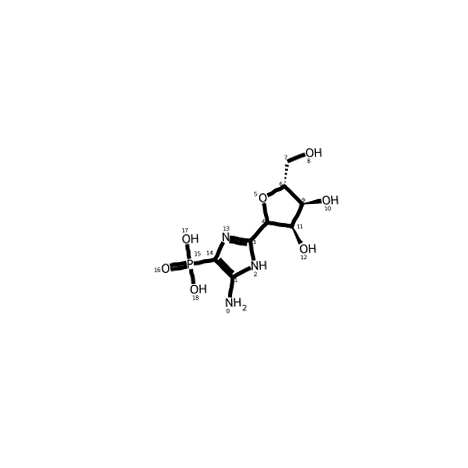 Nc1[nH]c(C2O[C@H](CO)[C@@H](O)[C@H]2O)nc1P(=O)(O)O